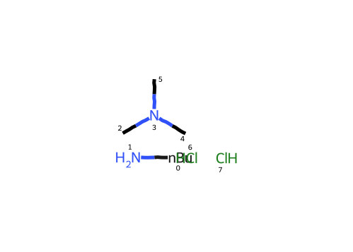 CCCCN.CN(C)C.Cl.Cl